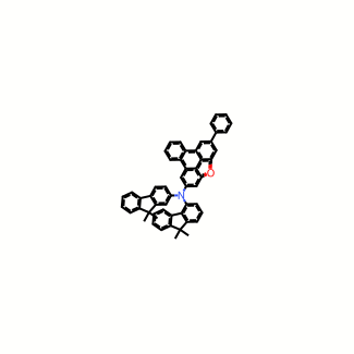 CC1(C)c2ccccc2-c2ccc(N(c3cc4oc5cc(-c6ccccc6)cc6c7ccccc7c(c3)c4c56)c3cccc4c3-c3ccccc3C4(C)C)cc21